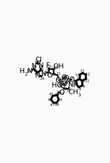 C[C@H](NP(=O)(Oc1cccc2ccccc12)OP(=O)(O)OCC1OC(n2cnc3c(N)nc(Cl)nc32)C(F)C1O)C(=O)OCc1ccccc1